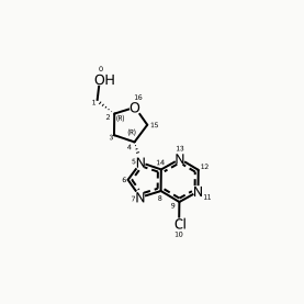 OC[C@H]1C[C@@H](n2cnc3c(Cl)ncnc32)CO1